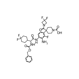 Nc1c(NC(=O)[C@@H](NC(=O)OCc2ccccc2)C2CCC(F)(F)CC2)ccc(C2(C(=O)N3CC(F)(F)C3)CCN(C(=O)O)CC2)c1F